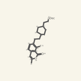 CCCCCCCCCCCCC1CCC(CCc2ccc3cc(C)oc(=O)c3c2F)CC1